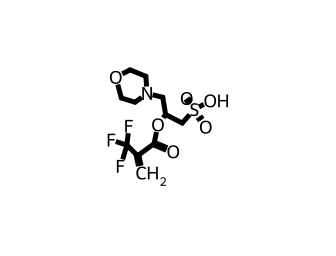 C=C(C(=O)OC(CN1CCOCC1)CS(=O)(=O)O)C(F)(F)F